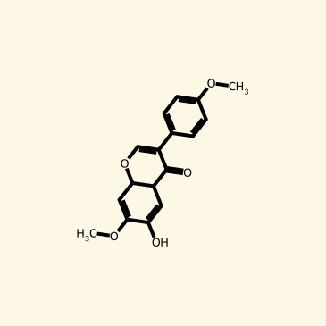 COC1=CC2OC=C(c3ccc(OC)cc3)C(=O)C2C=C1O